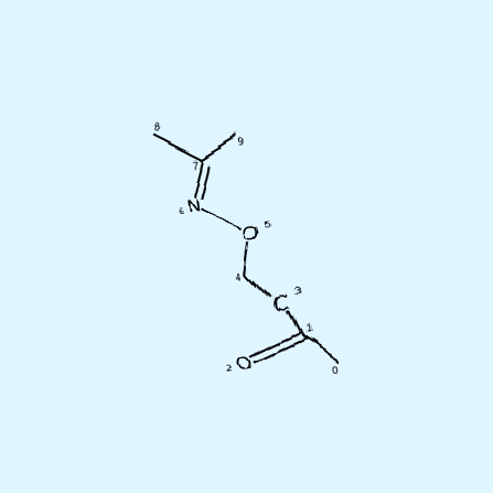 CC(=O)CCON=C(C)C